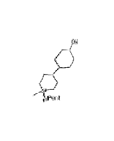 CCCCC[Si]1(C)CCC(C2CCC(O)CC2)CC1